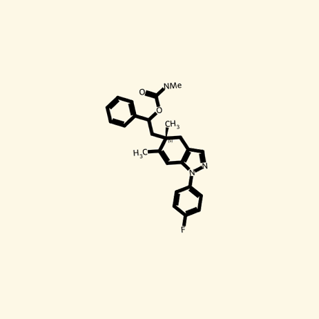 CNC(=O)OC(C[C@]1(C)Cc2cnn(-c3ccc(F)cc3)c2C=C1C)c1ccccc1